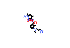 CCN(CCCN(C)C)c1cccc(C(=O)NCC2=C(C)C=C(C)NC2O)c1C